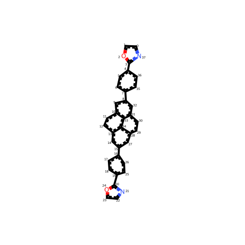 c1coc(-c2ccc(-c3cc4ccc5cc(-c6ccc(-c7ncco7)cc6)cc6ccc(c3)c4c56)cc2)n1